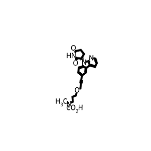 CN(CCCOCC#Cc1ccc2c(c1)c1cccnc1n2[C@H]1CCC(=O)NC1=O)C(=O)O